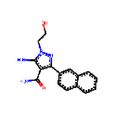 NC(=O)c1c(-c2ccc3ccccc3c2)nn(CCO)c1N